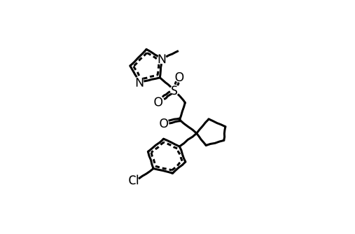 Cn1ccnc1S(=O)(=O)CC(=O)C1(c2ccc(Cl)cc2)CCCC1